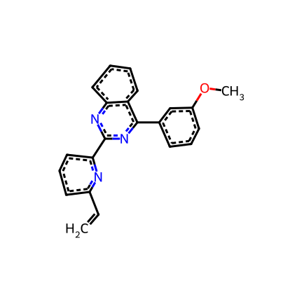 C=Cc1cccc(-c2nc(-c3cccc(OC)c3)c3ccccc3n2)n1